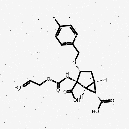 C=CCOC(=O)N[C@]1(C(=O)O)[C@H]2[C@@H](C[C@H]1OCc1ccc(F)cc1)[C@@H]2C(=O)O